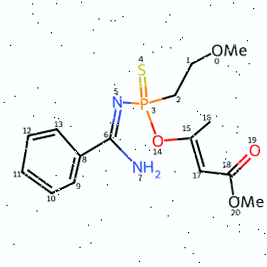 COCCP(=S)(N=C(N)c1ccccc1)OC(C)=CC(=O)OC